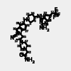 Cc1c(CN2CCC(Nc3nc(N)nc4sc(CC(F)(F)F)cc34)CC2)ccc2c1cc(C#N)n2C[C@H](C)N1CCN(CC(N)=O)CC1